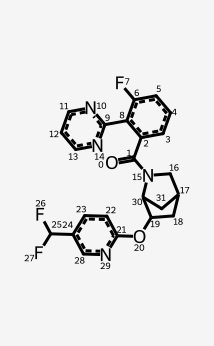 O=C(c1cccc(F)c1-c1ncccn1)N1CC2CC(Oc3ccc(C(F)F)cn3)C1C2